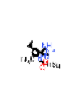 CCCCOC(=O)Cn1c2ncnc(N)c2c2cc(C3CC3)cc(C)c21